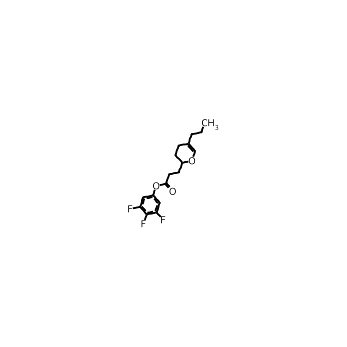 CCCC1=COC(CCC(=O)Oc2cc(F)c(F)c(F)c2)CC1